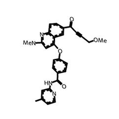 CNc1cc(Oc2ccc(C(=O)Nc3cc(C)ccn3)cc2)c2cc(C(=O)C#CCOC)ccc2n1